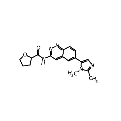 Cc1ncc(-c2ccc3nnc(NC(=O)C4CCCO4)cc3c2)n1C